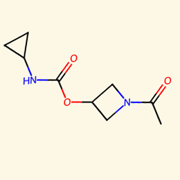 CC(=O)N1CC(OC(=O)NC2CC2)C1